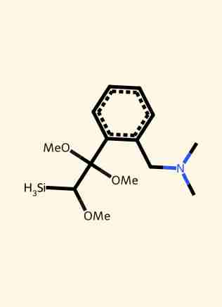 COC([SiH3])C(OC)(OC)c1ccccc1CN(C)C